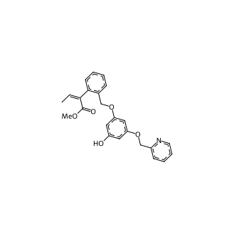 CC=C(C(=O)OC)c1ccccc1COc1cc(O)cc(OCc2ccccn2)c1